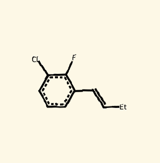 CCC=Cc1cccc(Cl)c1F